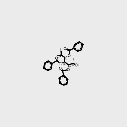 C[C@H](O)[C@H](OC(=O)c1ccccc1)[C@@H](OC(=O)c1ccccc1)[C@@H](OC(=O)c1ccccc1)C(=O)F